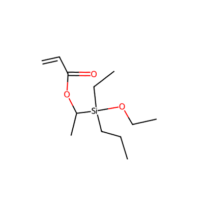 C=CC(=O)OC(C)[Si](CC)(CCC)OCC